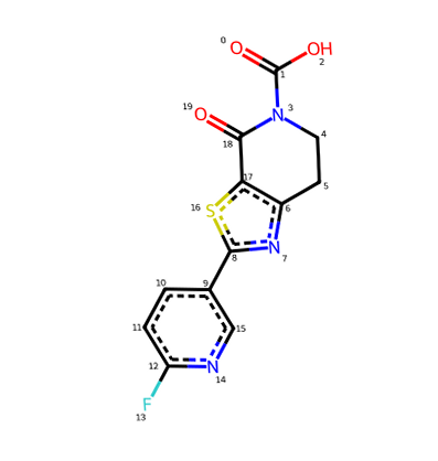 O=C(O)N1CCc2nc(-c3ccc(F)nc3)sc2C1=O